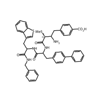 CS[C@H](C(=O)NC(Cc1ccc(-c2ccccc2)cc1)C(=O)NC(Cc1csc2ccccc12)C(=O)NCc1ccccc1)C(N)Cc1ccc(C(=O)O)cc1